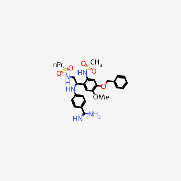 CCCS(=O)(=O)NCC(Nc1ccc(C(=N)N)cc1)c1cc(OC)c(OCc2ccccc2)cc1NS(C)(=O)=O